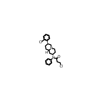 O=C(CCCl)N(c1ccccc1)[C@H]1CCN2C[C@H](c3ccccc3Cl)CC[C@H]2C1